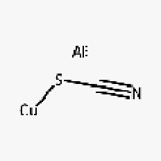 N#C[S][Cu].[Al]